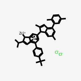 CC1=Cc2c(-c3cc(C)ccc3C)cc(C)cc2C1c1cc2c3c(-c4ccc(C(C)(C)C)cc4)c1[Si](C)(C)C3=C(C(C)C)[CH]2[Zr+2].[Cl-].[Cl-]